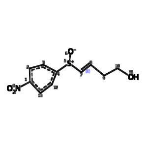 O=[N+]([O-])c1ccc([S+]([O-])/C=C/CCO)cc1